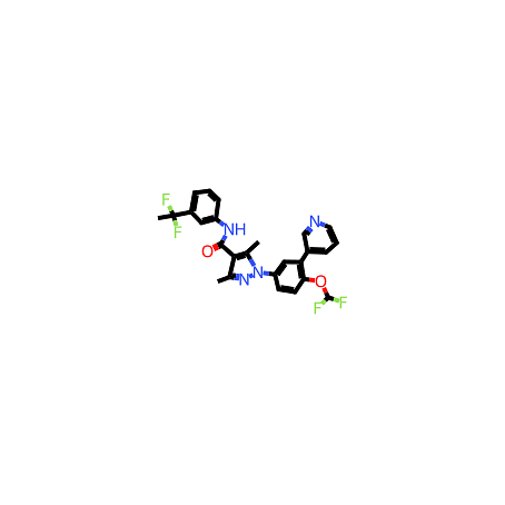 Cc1nn(-c2ccc(OC(F)F)c(-c3cccnc3)c2)c(C)c1C(=O)Nc1cccc(C(C)(F)F)c1